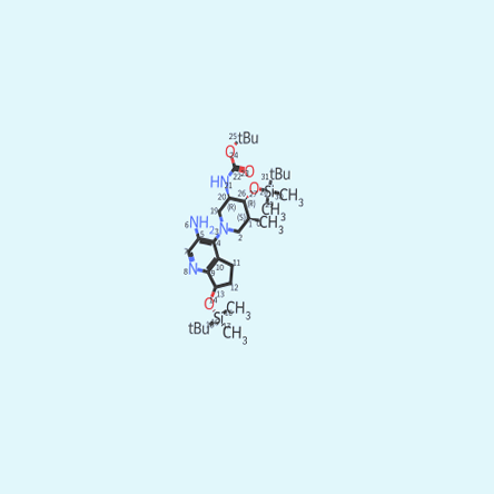 C[C@H]1CN(c2c(N)cnc3c2CCC3O[Si](C)(C)C(C)(C)C)C[C@@H](NC(=O)OC(C)(C)C)[C@@H]1O[Si](C)(C)C(C)(C)C